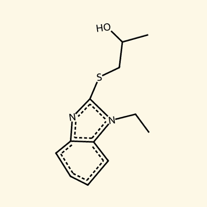 CCn1c(SCC(C)O)nc2ccccc21